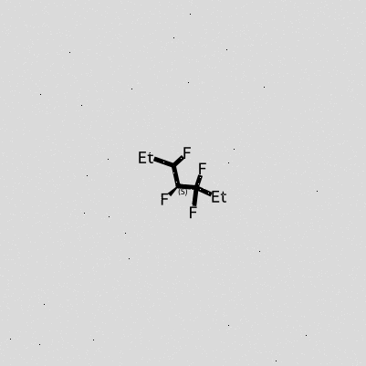 [CH2]CC(F)[C@H](F)C(F)(F)CC